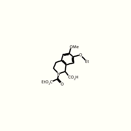 CCOC(=O)C(=O)N1CCc2cc(OC)c(OCC)cc2C1C(=O)O